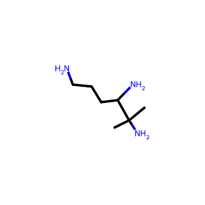 CC(C)(N)C(N)CCCN